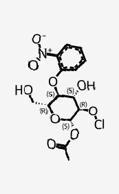 CC(=O)O[C@@H]1O[C@H](CO)[C@@H](Oc2ccccc2[N+](=O)[O-])[C@H](O)[C@H]1OCl